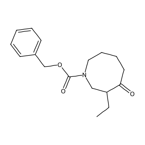 CCC1CN(C(=O)OCc2ccccc2)CCCCC1=O